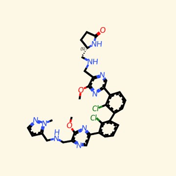 COc1nc(-c2cccc(-c3cccc(-c4cnc(CNC[C@@H]5CCC(=O)N5)c(OC)n4)c3Cl)c2Cl)cnc1CNCc1ccnn1C